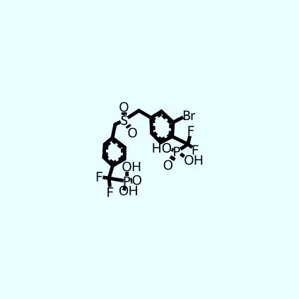 O=P(O)(O)C(F)(F)c1ccc(CS(=O)(=O)Cc2ccc(C(F)(F)P(=O)(O)O)c(Br)c2)cc1